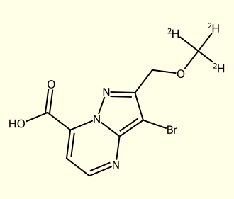 [2H]C([2H])([2H])OCc1nn2c(C(=O)O)ccnc2c1Br